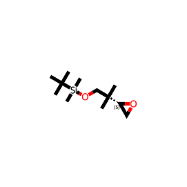 CC(C)(CO[Si](C)(C)C(C)(C)C)[C@H]1CO1